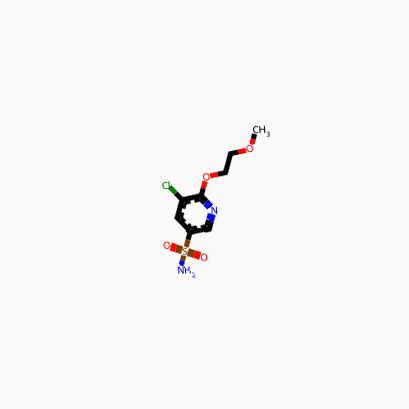 COCCOc1ncc(S(N)(=O)=O)cc1Cl